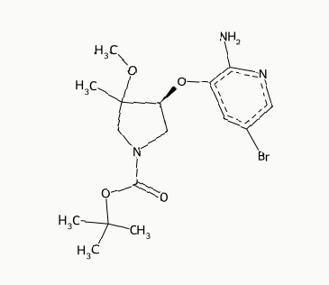 COC1(C)CN(C(=O)OC(C)(C)C)C[C@@H]1Oc1cc(Br)cnc1N